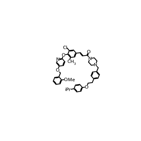 COc1ccccc1COc1ccc(Oc2c(C)cc(C=CC(=O)N3CCN(Cc4ccc(CCOc5ccc(C(C)C)cc5)cc4)CC3)cc2Cl)nc1